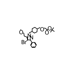 COCCc1c(Br)c(-c2ccccc2)nn1CC1CCC(COCC(=O)OC(C)(C)C)CC1